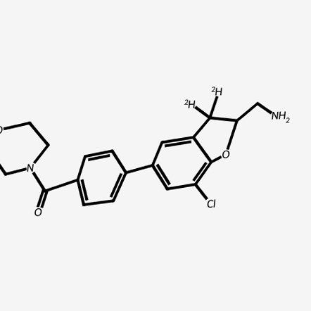 [2H]C1([2H])c2cc(-c3ccc(C(=O)N4CCOCC4)cc3)cc(Cl)c2OC1CN